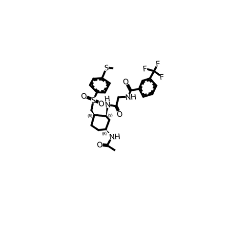 CSc1ccc(S(=O)(=O)C[C@@H]2CC[C@@H](NC(C)=O)C[C@@H]2NC(=O)CNC(=O)c2cccc(C(F)(F)F)c2)cc1